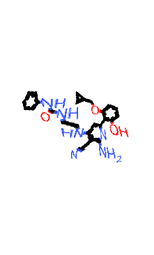 N#Cc1c(NCCNC(=O)Nc2ccccc2)cc(-c2c(O)cccc2OCC2CC2)nc1N